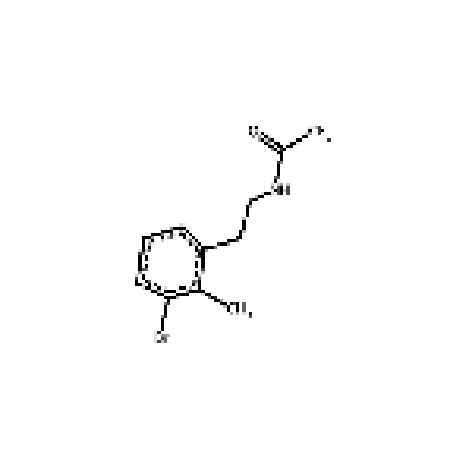 Cc1c(Br)cccc1CCNC(=O)C(F)(F)F